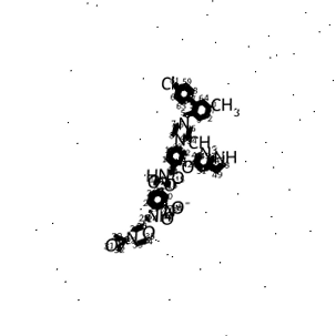 C[C@H]1CCC(CN2CCN(c3ccc(C(=O)NS(=O)(=O)c4ccc(NC[C@H]5CN(C6COC6)CCO5)c([N+](=O)[O-])c4)c(Oc4cnc5[nH]ccc5c4)c3)[C@H](C)C2)=C(c2ccc(Cl)cc2)C1